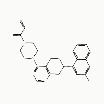 C=CC(=O)N1CCN(c2ncnc3c2CCC(c2cc(O)cc4ccccc24)C3)CC1